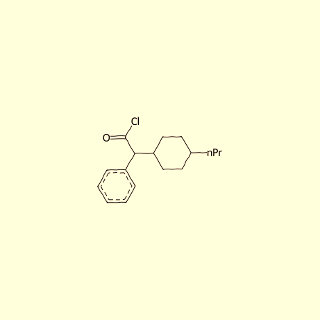 CCCC1CCC(C(C(=O)Cl)c2ccccc2)CC1